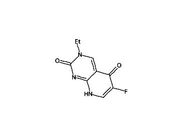 CCn1cc2c(=O)c(F)c[nH]c2nc1=O